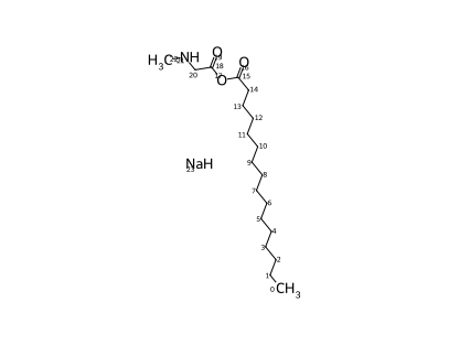 CCCCCCCCCCCCCCCC(=O)OC(=O)CNC.[NaH]